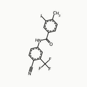 Cc1ccc(C(=O)Nc2ccc(C#N)c(C(F)(F)F)c2)cc1I